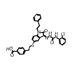 O=C(NN=C1C(=O)N(CCc2ccccc2)c2ccc(SCCc3ccc(C(=O)O)cc3)cc21)Nc1ccccc1Cl